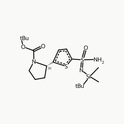 CC(C)(C)OC(=O)N1CCC[C@H]1c1ccc(S(N)(=O)=N[Si](C)(C)C(C)(C)C)s1